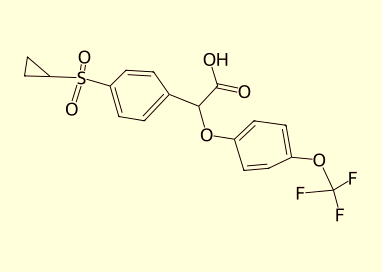 O=C(O)C(Oc1ccc(OC(F)(F)F)cc1)c1ccc(S(=O)(=O)C2CC2)cc1